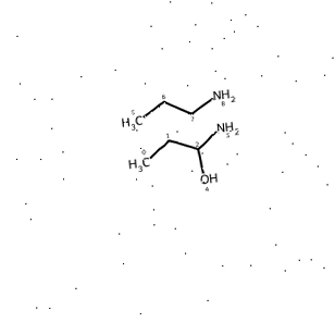 CCC(N)O.CCCN